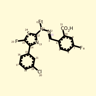 CCN(/N=C/c1ccc(F)cc1C(=O)O)c1nc(-c2cccc(Cl)c2)c(F)s1